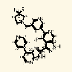 Fc1c(-c2cncc(CN3CCC(F)(F)C3)c2)ncc2[nH]nc(-c3nc4c(-c5ccncc5)ccnc4[nH]3)c12